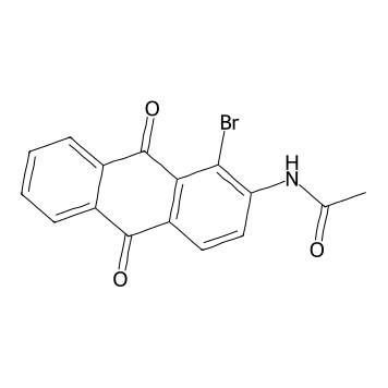 CC(=O)Nc1ccc2c(c1Br)C(=O)c1ccccc1C2=O